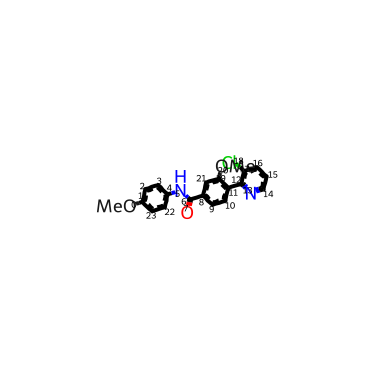 COc1ccc(NC(=O)c2ccc(-c3ncccc3Cl)c(OC)c2)cc1